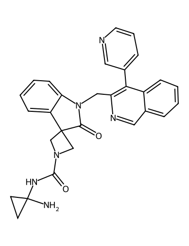 NC1(NC(=O)N2CC3(C2)C(=O)N(Cc2ncc4ccccc4c2-c2cccnc2)c2ccccc23)CC1